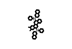 Cc1cc2c(N(c3ccccc3)c3ccc4ccccc4c3)cc3c4ccccc4c(N(c4ccccc4)c4ccc5ccccc5c4)cc3c2cc1C